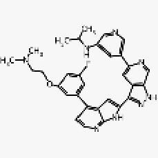 CC(C)Nc1cncc(-c2cc3c(-c4cc5c(-c6cc(F)cc(OCCN(C)C)c6)ccnc5[nH]4)n[nH]c3cn2)c1